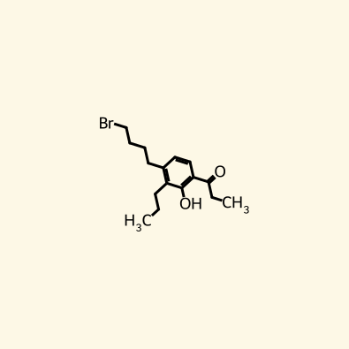 CCCc1c(CCCCBr)ccc(C(=O)CC)c1O